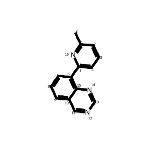 Cc1cccc(-c2cccc3cncnc23)n1